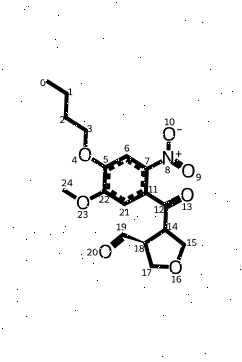 CCCCOc1cc([N+](=O)[O-])c(C(=O)C2COC[C@H]2C=O)cc1OC